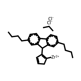 CCC.CCCCc1ccc2c(c1)C(C1=[C]([Zr+2])CC=C1)c1cc(CCCC)ccc1-2.[Cl-].[Cl-]